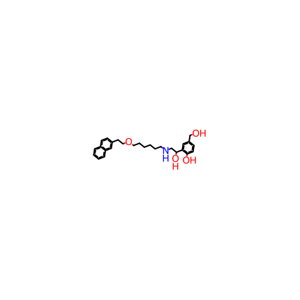 OCc1ccc(O)c(C(O)CNCCCCCCOCCc2ccc3ccccc3c2)c1